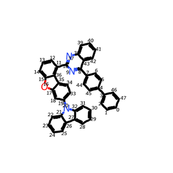 c1ccc(-c2ccc(-c3nc(-c4cccc5oc6cc(-n7c8ccccc8c8ccccc87)ccc6c45)nc4ccccc34)cc2)cc1